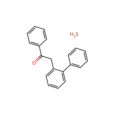 O=C(Cc1ccccc1-c1ccccc1)c1ccccc1.S